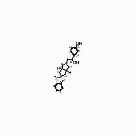 CO[C@@]1(Cc2ccccc2)C[C@H]2CN(CC(O)c3ccc(O)cc3)C[C@H]2C1